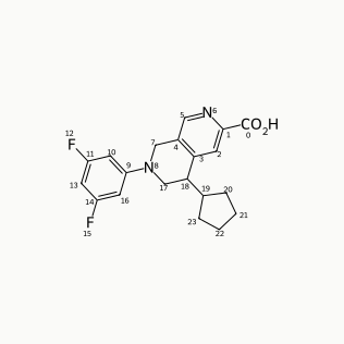 O=C(O)c1cc2c(cn1)CN(c1cc(F)cc(F)c1)CC2C1CCCC1